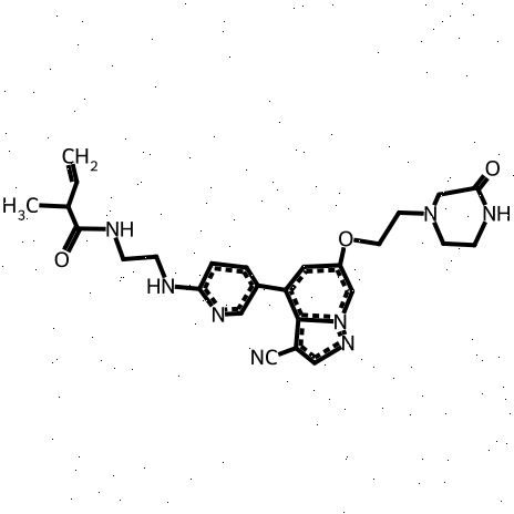 C=CC(C)C(=O)NCCNc1ccc(-c2cc(OCCN3CCNC(=O)C3)cn3ncc(C#N)c23)cn1